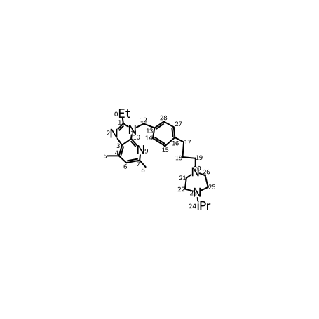 CCc1nc2c(C)cc(C)nc2n1Cc1ccc(CCCN2CCN(C(C)C)CC2)cc1